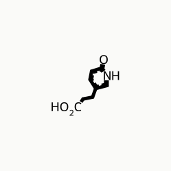 O=C(O)CCc1ccc(=O)[nH]c1